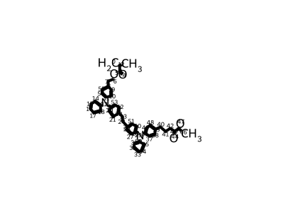 C=C(C)C(=O)OCCc1ccc(N(c2ccccc2)c2ccc(CCc3ccc(N(c4ccccc4)c4ccc(CCCC(=O)C(C)=O)cc4)cc3)cc2)cc1